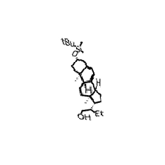 CCC(CO)[C@H]1CC[C@H]2C3=CC=C4C[C@@H](O[Si](C)(C)C(C)(C)C)CC[C@]4(C)[C@H]3CC[C@]12C